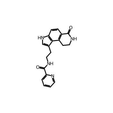 O=C(NCCc1c[nH]c2ccc3c(c12)CCNC3=O)c1ccccn1